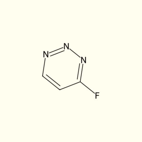 Fc1ccnnn1